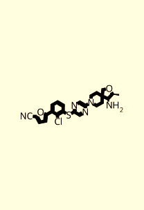 C[C@@H]1OCC2(CCN(c3cnc(Sc4cccc(-c5ccc(C#N)o5)c4Cl)cn3)CC2)[C@@H]1N